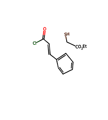 CCOC(=O)CS.O=C(Cl)C=Cc1ccccc1